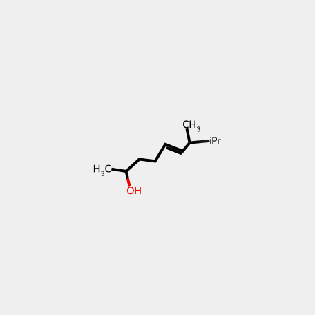 CC(O)CCC=CC(C)C(C)C